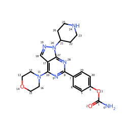 NC(=O)Oc1ccc(-c2nc(N3CCOCC3)c3cnn(C4CCNCC4)c3n2)cc1